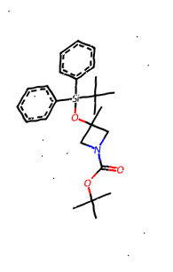 CC(C)(C)OC(=O)N1CC(C)(O[Si](c2ccccc2)(c2ccccc2)C(C)(C)C)C1